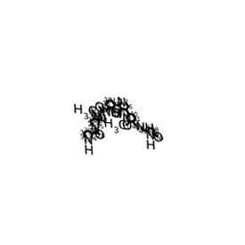 COc1nc(-c2ccnc(-c3cccc(NC(=O)c4nc5c(n4C)CCN(C(=O)C4CCCNC4)C5)c3Cl)c2Cl)ccc1CNCC1CCC(=O)N1